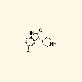 O=C1Nc2ccc(Br)cc2C1=C1CCNCC1